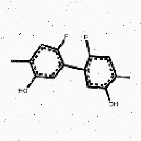 Cc1cc(F)c(-c2cc(O)c(C)cc2F)cc1O